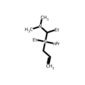 C=CC[Si](CC)(CCC)C(CC)N(C)C